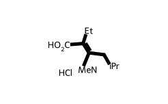 CCC(C(=O)O)=C(CC(C)C)NC.Cl